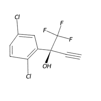 C#C[C@](O)(c1cc(Cl)ccc1Cl)C(F)(F)F